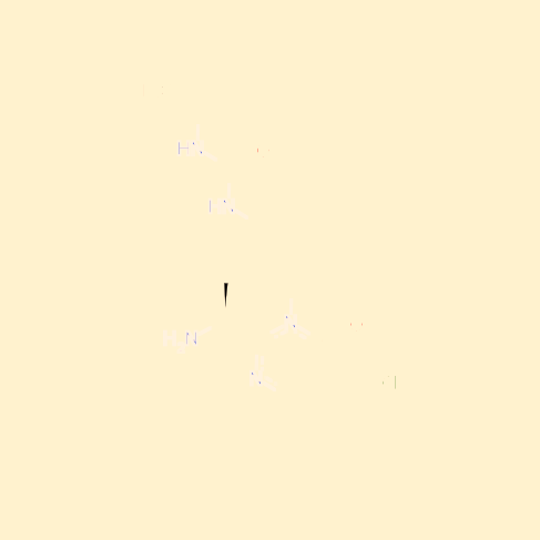 C[C@H](N)c1nc2cccc(Cl)c2c(=O)n1-c1cccc(NC(=O)NCC(F)(F)F)c1